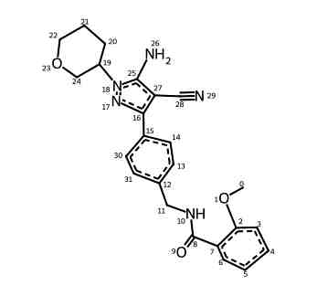 COc1ccccc1C(=O)NCc1ccc(-c2nn(C3CCCOC3)c(N)c2C#N)cc1